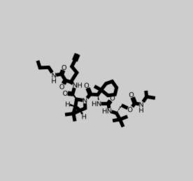 C#CCCC(NC(=O)[C@@H]1[C@@H]2[C@H](CN1C(=O)[C@@H](NC(=O)N[C@H](COC(=O)NC(C)C)C(C)(C)C)C1(C)CCCCC1)C2(C)C)C(=O)C(=O)NCCC